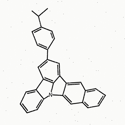 CC(C)c1ccc(-c2cc3c4ccccc4n4c5cc6ccccc6cc5c(c2)c34)cc1